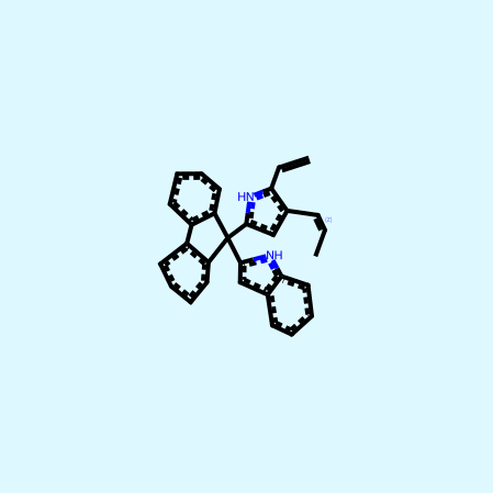 C=Cc1[nH]c(C2(c3cc4ccccc4[nH]3)c3ccccc3-c3ccccc32)cc1/C=C\C